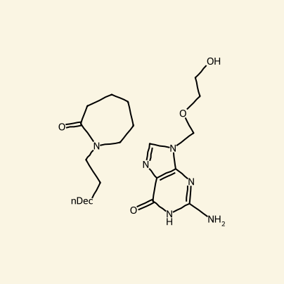 CCCCCCCCCCCCN1CCCCCC1=O.Nc1nc2c(ncn2COCCO)c(=O)[nH]1